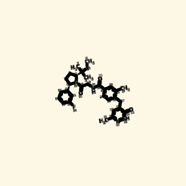 CSC(C)(C)[C@H]1CC[C@@H](c2cccc(F)c2)N1C(=O)CNC(=O)c1ccc(Cc2cc(C)n[nH]c2=O)c(C)c1